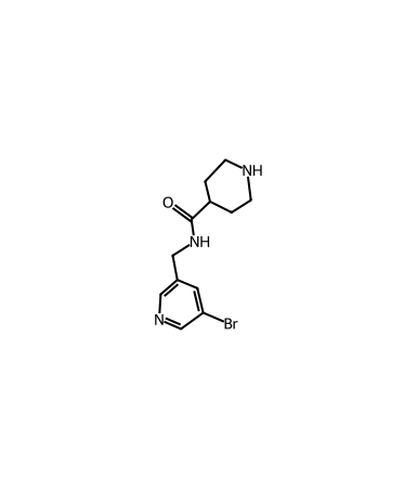 O=C(NCc1cncc(Br)c1)C1CCNCC1